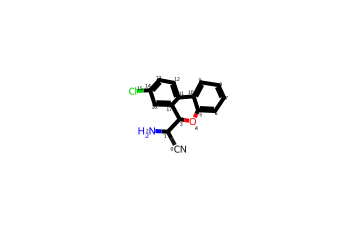 N#CC(N)C1Oc2ccccc2-c2ccc(Cl)cc21